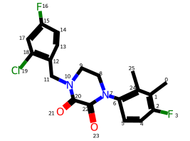 Cc1c(F)ccc(N2CCN(Cc3ccc(F)cc3Cl)C(=O)C2=O)c1C